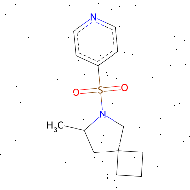 CC1CC2(CCC2)CN1S(=O)(=O)c1ccncc1